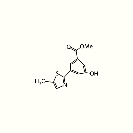 COC(=O)c1cc(O)cc(-c2ncc(C)s2)c1